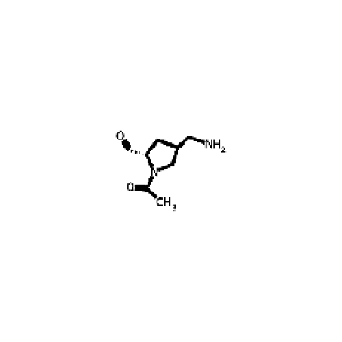 CC(=O)N1CC(CN)C[C@H]1C=O